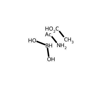 CC(=O)O.CC(N)=O.OBO